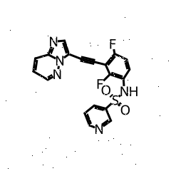 O=S(=O)(Nc1ccc(F)c(C#Cc2cnc3cccnn23)c1F)c1cccnc1